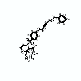 CC1(C)SCCN(S(=O)(=O)c2ccc(OCC#CCOCc3ccccc3)cc2)C1C(=O)O